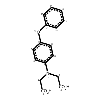 O=C(O)CN(CC(=O)O)c1ccc(Oc2ccccc2)cc1